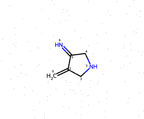 C=C1CNCC1=N